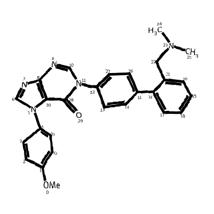 COc1ccc(-n2cnc3ncn(-c4ccc(-c5ccccc5CN(C)C)cc4)c(=O)c32)cc1